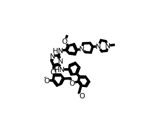 COc1ccc(COc2c(C=O)cccc2-c2cccc(Nc3nc(Nc4ccc(N5CCC(N6CCN(C)CC6)CC5)cc4OC)ncc3Cl)c2)cc1